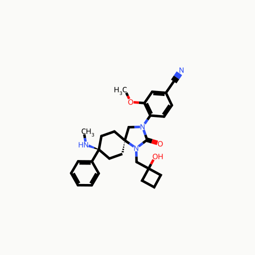 CN[C@]1(c2ccccc2)CC[C@]2(CC1)CN(c1ccc(C#N)cc1OC)C(=O)N2CC1(O)CCC1